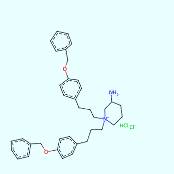 Cl.NC1CCC[N+](CCCc2ccc(OCc3ccccc3)cc2)(CCCc2ccc(OCc3ccccc3)cc2)C1.[Cl-]